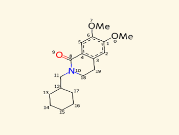 COc1cc2c(cc1OC)C(=O)N(CC1CCCCC1)CC2